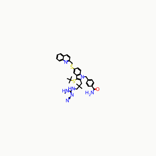 CN/C(=N\C#N)NCC(C)(C)Cc1c(SC(C)(C)C)c2cc(SCc3ccc4ccccc4n3)ccc2n1Cc1ccc(C(N)=O)cc1